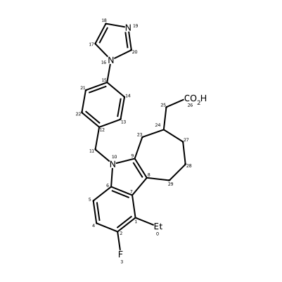 CCc1c(F)ccc2c1c1c(n2Cc2ccc(-n3ccnc3)cc2)CC(CC(=O)O)CCC1